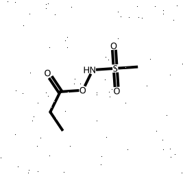 CCC(=O)ONS(C)(=O)=O